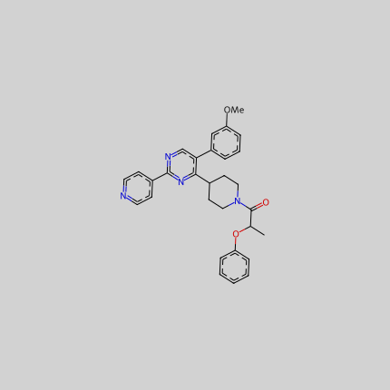 COc1cccc(-c2cnc(-c3ccncc3)nc2C2CCN(C(=O)C(C)Oc3ccccc3)CC2)c1